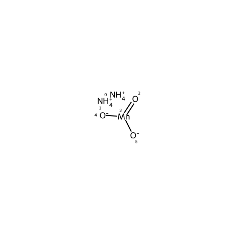 [NH4+].[NH4+].[O]=[Mn]([O-])[O-]